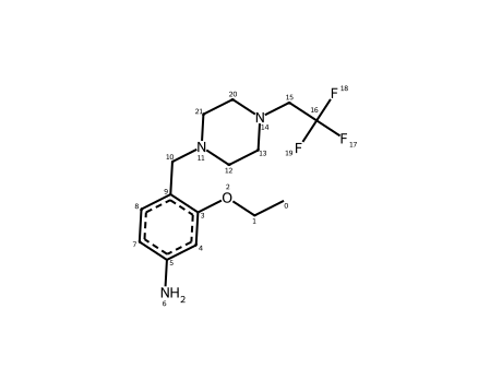 CCOc1cc(N)ccc1CN1CCN(CC(F)(F)F)CC1